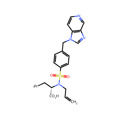 C=CCN([C@@H](CC(C)C)C(=O)O)S(=O)(=O)c1ccc(Cn2cnc3cnccc32)cc1